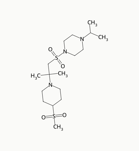 CC(C)N1CCN(S(=O)(=O)CC(C)(C)N2CCC(S(C)(=O)=O)CC2)CC1